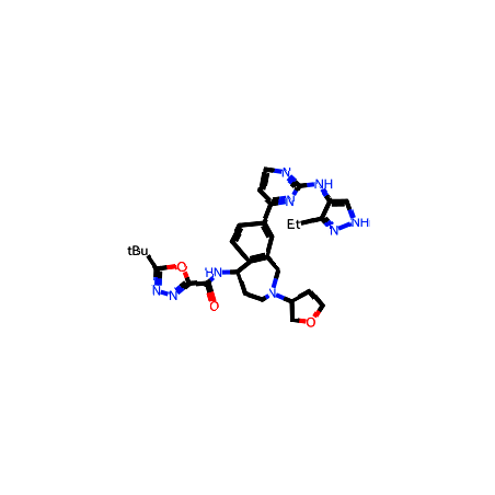 CCc1n[nH]cc1Nc1nccc(-c2ccc3c(c2)CN(C2CCOC2)CCC3NC(=O)c2nnc(C(C)(C)C)o2)n1